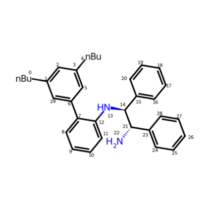 CCCCc1cc(CCCC)cc(-c2ccccc2N[C@@H](c2ccccc2)[C@@H](N)c2ccccc2)c1